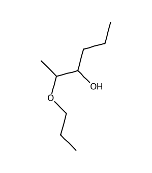 CCCOC(C)C(O)CCC